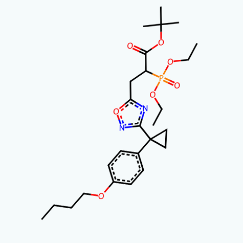 CCCCOc1ccc(C2(c3noc(CC(C(=O)OC(C)(C)C)P(=O)(OCC)OCC)n3)CC2)cc1